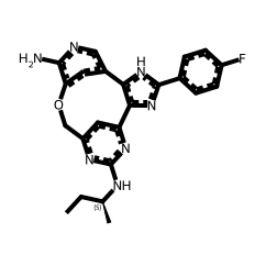 CC[C@H](C)Nc1nc2cc(n1)-c1nc(-c3ccc(F)cc3)[nH]c1-c1cnc(N)c(c1)OC2